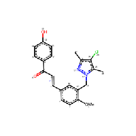 COc1ccc(/C=C/C(=O)c2ccc(O)cc2)cc1Cn1nc(C)c(Cl)c1C